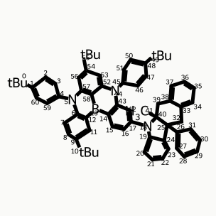 CC(C)(C)c1ccc(N2c3ccc(C(C)(C)C)cc3B3c4ccc(N5c6ccccc6C6(c7ccccc7)Cc7ccccc7CC56C)cc4N(c4ccc(C(C)(C)C)cc4)c4cc(C(C)(C)C)cc2c43)cc1